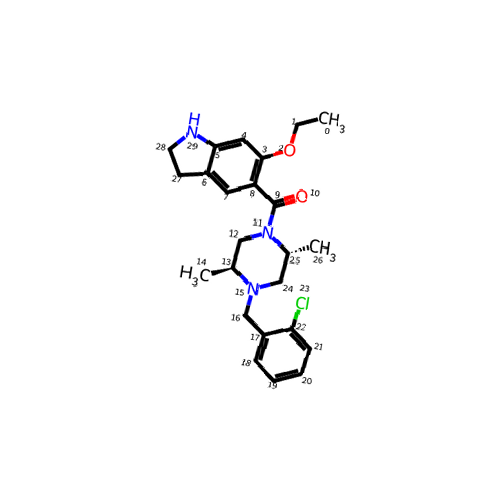 CCOc1cc2c(cc1C(=O)N1C[C@H](C)N(Cc3ccccc3Cl)C[C@H]1C)CCN2